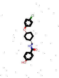 O=C(NC[C@H]1CC[C@@H](Oc2ccc(Cl)cc2)CC1)c1ccc(O)cc1